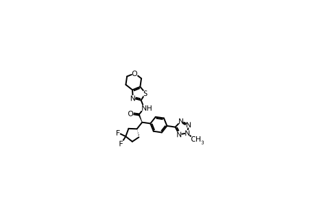 Cn1nnc(-c2ccc([C@H](C(=O)Nc3nc4c(s3)COCC4)[C@@H]3CCC(F)(F)C3)cc2)n1